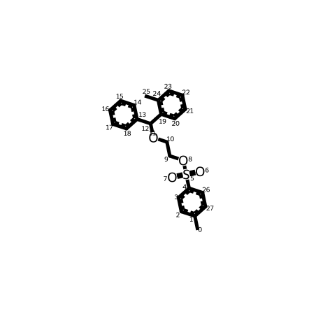 Cc1ccc(S(=O)(=O)OCCOC(c2ccccc2)c2ccccc2C)cc1